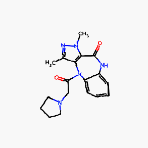 Cc1nn(C)c2c1N(C(=O)CN1CCCC1)c1ccccc1NC2=O